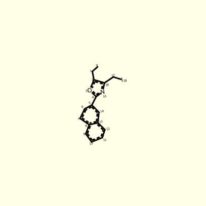 CCc1oc(-c2ccc3ccccc3c2)nc1CI